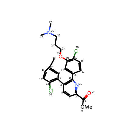 COC(=O)c1ccc(-c2cc(C)ccc2Cl)c(-c2ccc(Cl)c(OCCCN(C)C)c2)n1